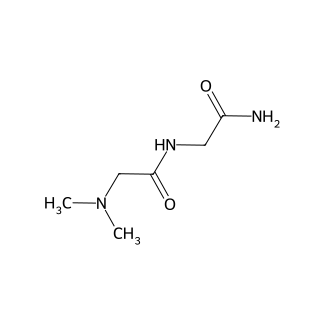 CN(C)CC(=O)NCC(N)=O